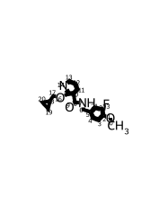 COc1ccc(CNC(=O)c2cccnc2OCC2CC2)cc1F